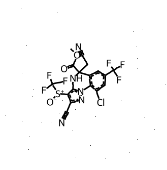 COC(=O)C1(CC#N)Nc2c([S+]([O-])C(F)(F)F)c(C#N)nn2-c2c(Cl)cc(C(F)(F)F)cc21